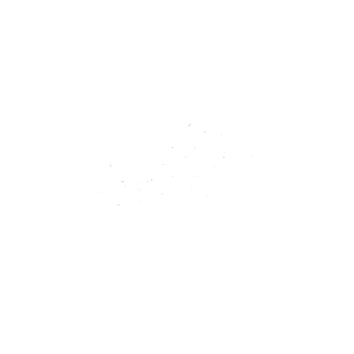 C=C/C=C(\C=C/C)c1c2c(c(-c3ccc(-n4c5c(c6ccccc64)C=CCC5)cc3)c3ccccc13)CCC=C2